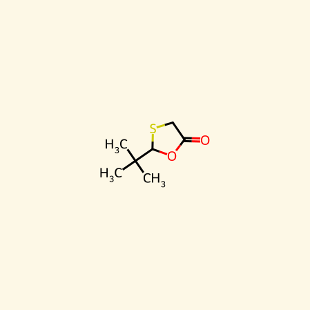 CC(C)(C)C1OC(=O)CS1